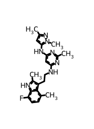 Cc1cc(Nc2cc(NCCc3c(C)[nH]c4c(F)ccc(C)c34)nc(C)n2)n(C)n1